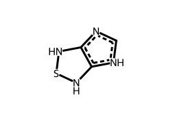 c1nc2c([nH]1)NSN2